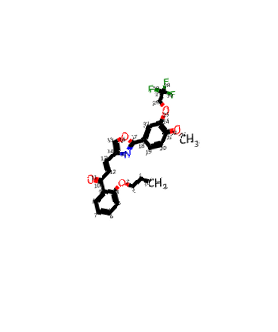 CCCOc1ccccc1C(=O)/C=C/c1coc(-c2ccc(OC)c(OCC(F)(F)F)c2)n1